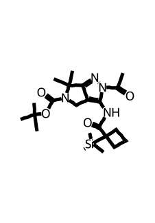 CC(=O)n1nc2c(c1NC(=O)C1([Si](C)(C)C)CCC1)CN(C(=O)OC(C)(C)C)C2(C)C